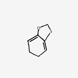 C1=C2OCSC2=CCC1